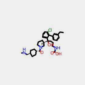 CCc1cccc(-c2c(Cl)cccc2C(O)(CCCNC(=O)O)[C@@H]2CCCN(C(=O)[C@H]3CC[C@H](CNC)CC3)C2)c1